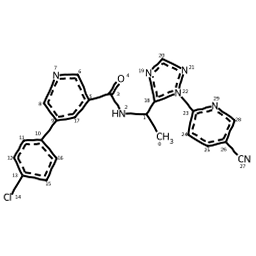 CC(NC(=O)c1cncc(-c2ccc(Cl)cc2)c1)c1ncnn1-c1ccc(C#N)cn1